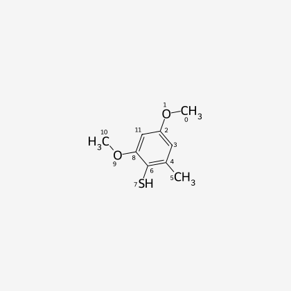 COc1cc(C)c(S)c(OC)c1